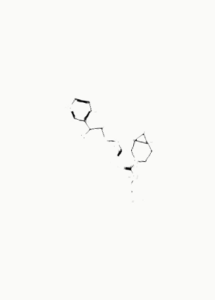 NC(CONC(=O)[C@@H]1C2CC2CCN1C(=O)NOS(=O)(=O)O)c1cccnc1